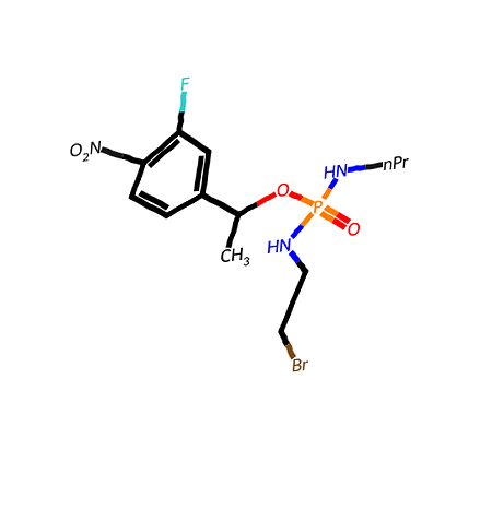 CCCNP(=O)(NCCBr)OC(C)c1ccc([N+](=O)[O-])c(F)c1